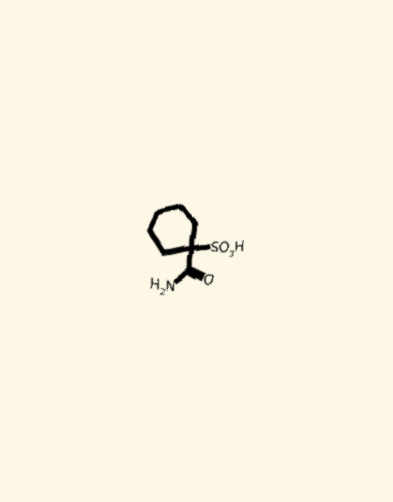 NC(=O)C1(S(=O)(=O)O)CCCCC1